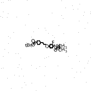 CN(C)C(=O)Nc1ccc(OCCCC2CCN(C(=O)OC(C)(C)C)CC2)cc1F